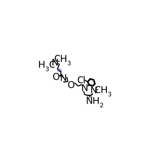 CN(C)C/C=C/C(=O)N1CC(OCCCN2CC[C@H](N)CN(C)c3cccc(Cl)c32)C1